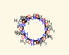 CC[C@H]1NC(=O)N(C)C(=O)[C@@H](C(C)C)N(C)C(=O)[C@@H](CC(C)C)N(C)C(=O)[C@@H](CC(C)C)N(C)C(=O)[C@H](C)NC(=O)[C@@H](C)NC(=O)[C@@H](CC(C)C)N(C)C(=O)C(C(C)C)NC(=O)[C@H](CC(C)(C)OC)N(C)C(=O)CN(C)C1=O